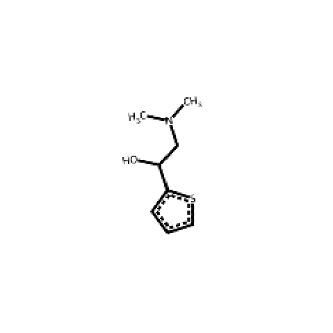 CN(C)CC(O)c1cccs1